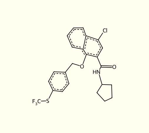 O=C(NC1CCCC1)c1cc(Cl)c2ccccc2c1OCc1ccc(SC(F)(F)F)cc1